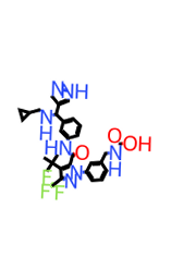 CC(C)(C)c1c(C(F)(F)F)nn(-c2cccc(CNC(=O)O)c2)c1C(=O)Nc1cccc(C(NCC2CC2)c2cn[nH]c2)c1